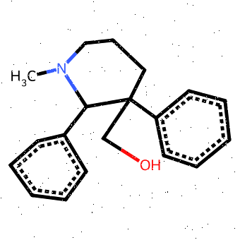 CN1CCCC(CO)(c2ccccc2)C1c1ccccc1